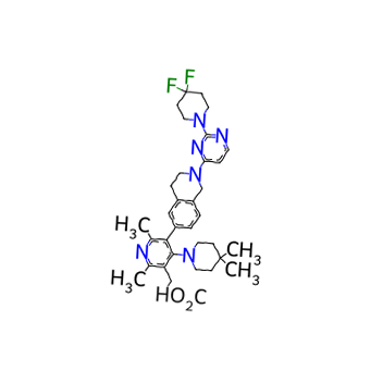 Cc1nc(C)c(-c2ccc3c(c2)CCN(c2ccnc(N4CCC(F)(F)CC4)n2)C3)c(N2CCC(C)(C)CC2)c1CC(=O)O